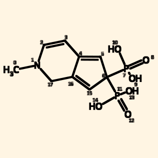 CN1C=CC2=CC(P(=O)(O)O)(P(=O)(O)O)C=C2C1